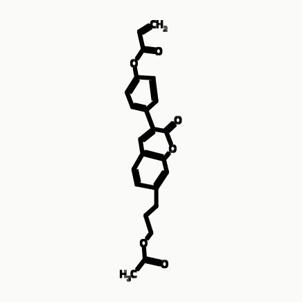 C=CC(=O)Oc1ccc(-c2cc3ccc(CCCOC(C)=O)cc3oc2=O)cc1